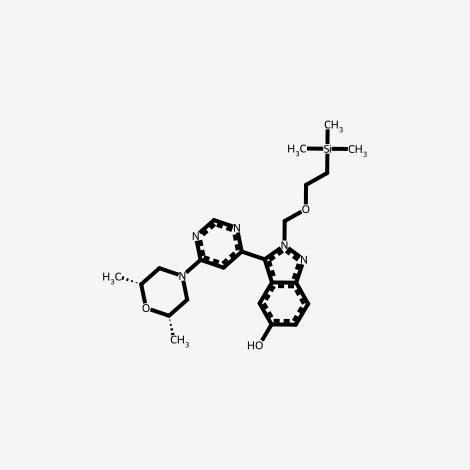 C[C@@H]1CN(c2cc(-c3c4cc(O)ccc4nn3COCC[Si](C)(C)C)ncn2)C[C@H](C)O1